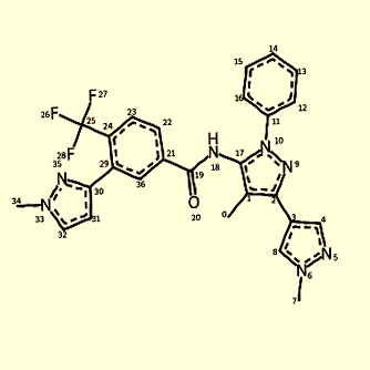 Cc1c(-c2cnn(C)c2)nn(-c2ccccc2)c1NC(=O)c1ccc(C(F)(F)F)c(-c2ccn(C)n2)c1